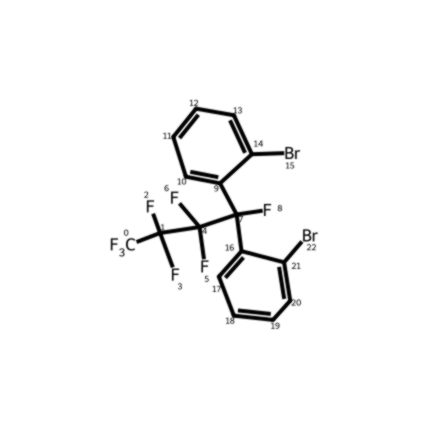 FC(F)(F)C(F)(F)C(F)(F)C(F)(c1ccccc1Br)c1ccccc1Br